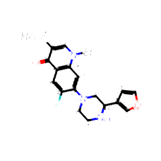 CCn1cc(C(=O)O)c(=O)c2cc(F)c(N3CCNC(c4ccoc4)C3)cc21